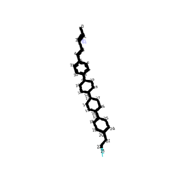 C/C=C/CCc1ccc(C2CCC(C3CCC(C4CCC(CCF)CC4)CC3)CC2)cc1